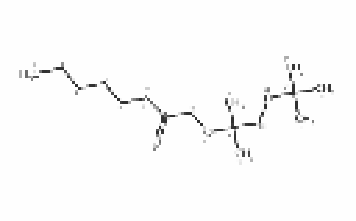 CCCCCNC(=O)COC(C)(C)COC(C)(C)C